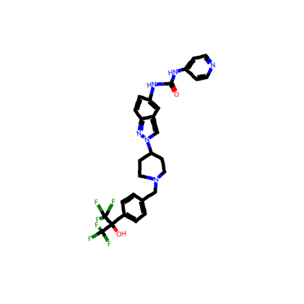 O=C(Nc1ccncc1)Nc1ccc2nn(C3CCN(Cc4ccc(C(O)(C(F)(F)F)C(F)(F)F)cc4)CC3)cc2c1